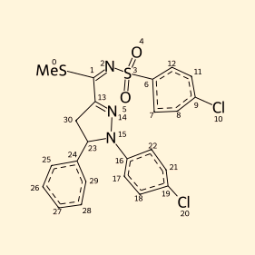 CSC(=NS(=O)(=O)c1ccc(Cl)cc1)C1=NN(c2ccc(Cl)cc2)C(c2ccccc2)C1